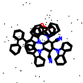 N#Cc1c(-n2c3ccccc3c3ccccc32)c(C#N)c(-n2c3ccccc3c3ccccc32)c(-n2c3cccc(-c4ccccc4-c4ccccc4)c3c3ccc4oc5ccccc5c4c32)c1-n1c2ccccc2c2ccccc21